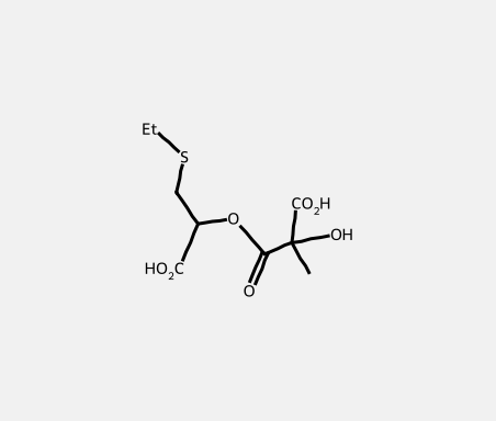 CCSCC(OC(=O)C(C)(O)C(=O)O)C(=O)O